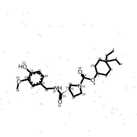 CCC1(CC)CCC(OC(=O)N2CC[C@H](C(=O)NCc3ccc(O)c(OC)c3)C2)CC1